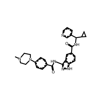 CN1CCN(c2ccc(C(=O)Nc3n[nH]c4ccc(C(=O)NC(c5cccnc5)C5CC5)cc34)cc2)CC1